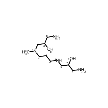 CN(CCCNCC(O)CN)CC(O)CN